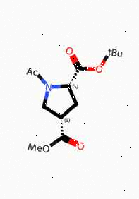 COC(=O)[C@H]1C[C@@H](C(=O)OC(C)(C)C)N(C(C)=O)C1